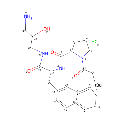 CC(C)(C)CC(=O)N1CCC[C@H]1C(=O)N[C@H](Cc1ccc2ccccc2c1)C(=O)NCC(O)CN.Cl